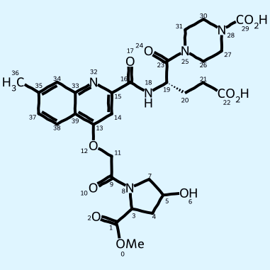 COC(=O)C1CC(O)CN1C(=O)COc1cc(C(=O)N[C@@H](CCC(=O)O)C(=O)N2CCN(C(=O)O)CC2)nc2cc(C)ccc12